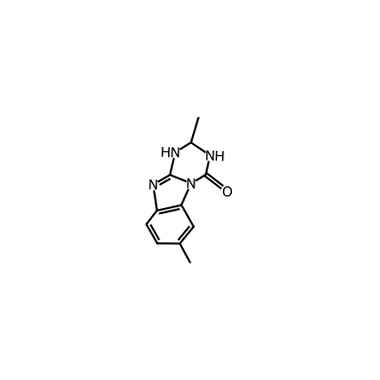 Cc1ccc2nc3n(c2c1)C(=O)NC(C)N3